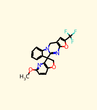 COc1ccc2c(n1)C1(CO2)C2=Nc3oc(C(F)(F)F)cc3CN2c2ccccc21